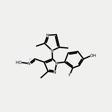 Cc1nn(-c2ccc(O)cc2F)c(-n2c(C)cnc2C)c1/C=N/O